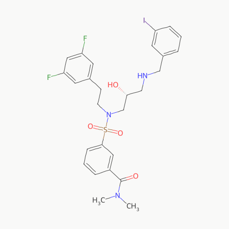 CN(C)C(=O)c1cccc(S(=O)(=O)N(CCc2cc(F)cc(F)c2)C[C@H](O)CNCc2cccc(I)c2)c1